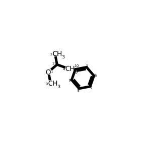 COC(C)C.c1ccccc1